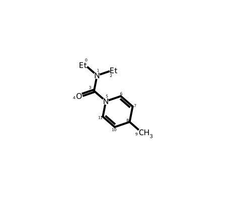 CCN(CC)C(=O)N1C=CC(C)C=C1